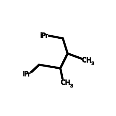 CC(C)CC(C)C(C)CC(C)C